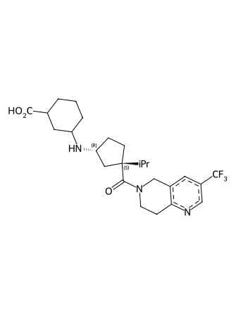 CC(C)[C@]1(C(=O)N2CCc3ncc(C(F)(F)F)cc3C2)CC[C@@H](NC2CCCC(C(=O)O)C2)C1